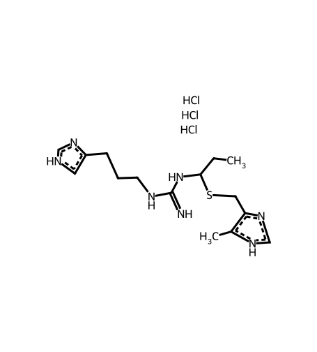 CCC(NC(=N)NCCCc1c[nH]cn1)SCc1nc[nH]c1C.Cl.Cl.Cl